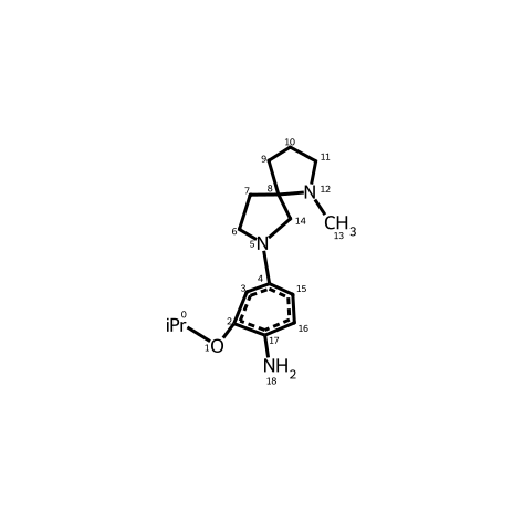 CC(C)Oc1cc(N2CCC3(CCCN3C)C2)ccc1N